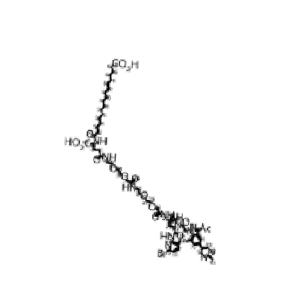 CC(=O)c1nn(CC(=O)N2[C@H](C(=O)Nc3nc(Br)ccc3C)C[C@@]3(CNC(=O)COCCOCCNC(=O)COCCOCCNC(=O)CC[C@H](NC(=O)CCCCCCCCCCCCCCCCC(=O)O)C(=O)O)C[C@@H]23)c2c(C)cc(-c3cnc(C)nc3)cc12